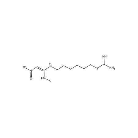 CN/C(=C\[N+](=O)[O-])NCCCCCCSC(=N)N